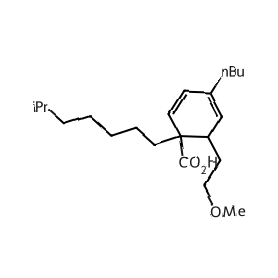 CCCCC1=CC(CCOC)C(CCCCCC(C)C)(C(=O)O)C=C1